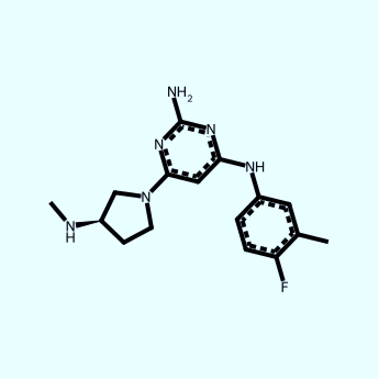 CN[C@@H]1CCN(c2cc(Nc3ccc(F)c(C)c3)nc(N)n2)C1